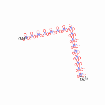 O=[N+]([O-])[O-].O=[N+]([O-])[O-].O=[N+]([O-])[O-].O=[N+]([O-])[O-].O=[N+]([O-])[O-].O=[N+]([O-])[O-].O=[N+]([O-])[O-].O=[N+]([O-])[O-].O=[N+]([O-])[O-].O=[N+]([O-])[O-].O=[N+]([O-])[O-].O=[N+]([O-])[O-].O=[N+]([O-])[O-].O=[N+]([O-])[O-].O=[N+]([O-])[O-].O=[N+]([O-])[O-].[Os+4].[Os+4].[Os+4].[Os+4]